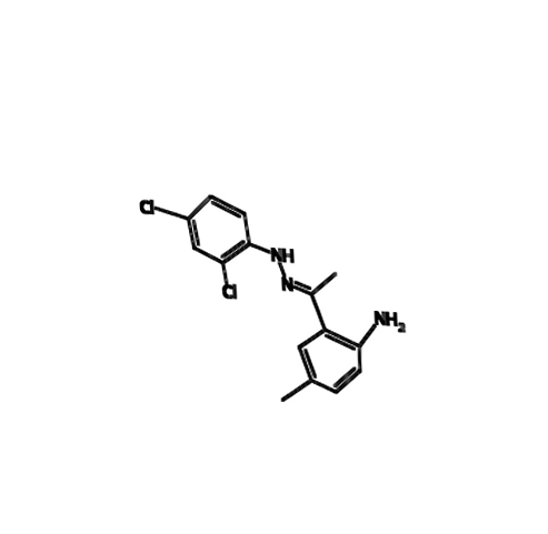 C/C(=N\Nc1ccc(Cl)cc1Cl)c1cc(C)ccc1N